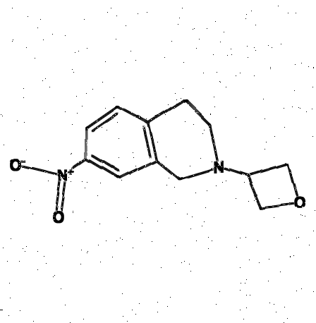 O=[N+]([O-])c1ccc2c(c1)CN(C1COC1)CC2